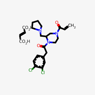 C=CC(=O)N1CCN(C(=O)Cc2ccc(Cl)c(Cl)c2)C(CN2CCCC2)C1.O=C(O)C=CC(=O)O